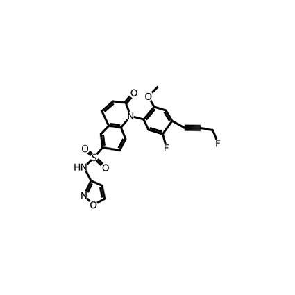 COc1cc(C#CCF)c(F)cc1-n1c(=O)ccc2cc(S(=O)(=O)Nc3ccon3)ccc21